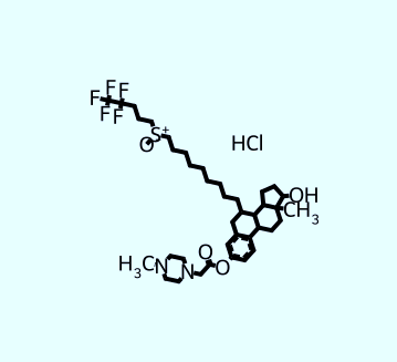 CN1CCN(CC(=O)Oc2ccc3c(c2)CC(CCCCCCCCC[S+]([O-])CCCC(F)(F)C(F)(F)F)C2C3CCC3(C)C(O)CCC23)CC1.Cl